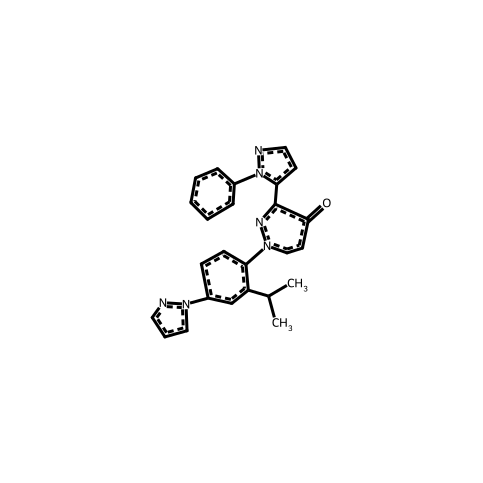 CC(C)c1cc(-n2cccn2)ccc1-n1ccc(=O)c(-c2ccnn2-c2ccccc2)n1